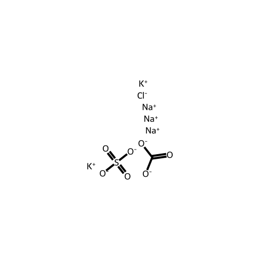 O=C([O-])[O-].O=S(=O)([O-])[O-].[Cl-].[K+].[K+].[Na+].[Na+].[Na+]